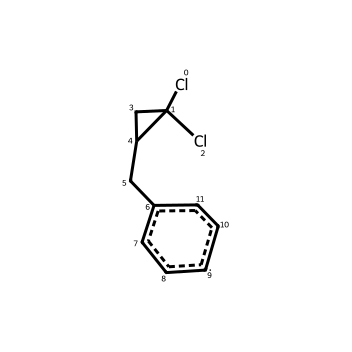 ClC1(Cl)CC1Cc1cc[c]cc1